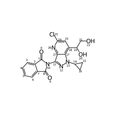 O=C1c2ccccc2C(=O)N1c1nn(C2CC2)c2c(C(O)CO)cc(Cl)nc12